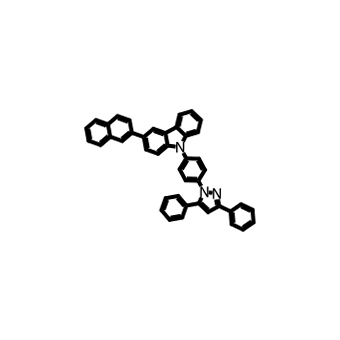 c1ccc(-c2cc(-c3ccccc3)n(-c3ccc(-n4c5ccccc5c5cc(-c6ccc7ccccc7c6)ccc54)cc3)n2)cc1